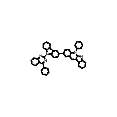 c1ccc(-c2nc(-n3c4ccccc4c4cc(-c5ccc6c(c5)cc5c7ccccc7nc-5n6-c5ccccc5)ccc43)nc3ccccc23)cc1